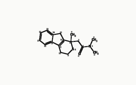 CN(C)C(=O)CC1(C)SCCC2=C1Cc1ccccc12